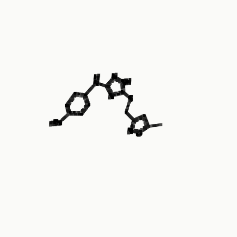 CCCCc1ccc(Nc2n[nH]c(SCc3cc(C)on3)n2)cc1